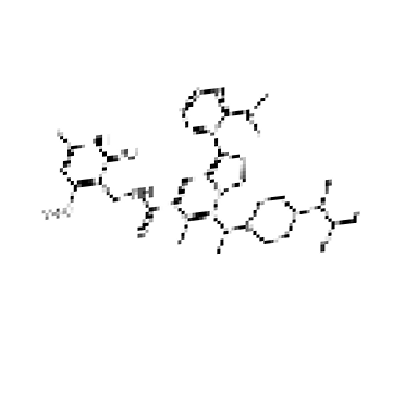 COc1cc(C)[nH]c(=O)c1CNC(=O)c1cc2c(-c3cccnc3N(C)C)ccn2c(C(C)N2CCN(C(F)C(F)F)CC2)c1C